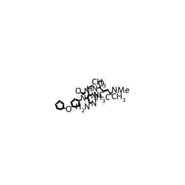 CNC(C)(C)/C=C(\C#N)C(=O)N[C@@H](C)Cn1c(=O)n(-c2ccc(Oc3ccccc3)cc2)c2c(N)ncnc21